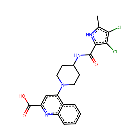 Cc1[nH]c(C(=O)NC2CCN(c3cc(C(=O)O)nc4ccccc34)CC2)c(Cl)c1Cl